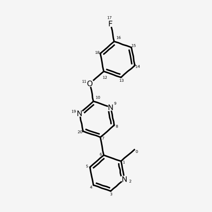 Cc1ncccc1-c1cnc(Oc2cccc(F)c2)nc1